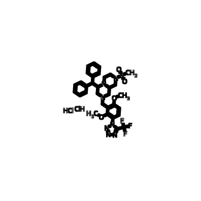 COc1ccc(-n2nnnc2C(F)(F)F)c(OC)c1CN1CC2CN(S(C)(=O)=O)CCN2C(C(c2ccccc2)c2ccccc2)C1.Cl.Cl